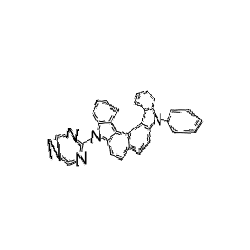 c1ccc(-n2c3ccccc3c3c4c(ccc32)ccc2c4c3ccccc3n2-c2ncncn2)cc1